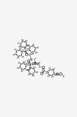 CC(C)(C)[Si](O[C@@H](CCCCOC(=O)c1ccc([N+](=O)[O-])cc1)COC(c1ccccc1)(c1ccccc1)c1ccccc1)(c1ccccc1)c1ccccc1